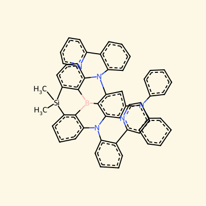 C[Si]1(C)c2cccc3c2B2c4c(cc(N(c5ccccc5)c5ccccc5)cc4N(c4ccccc4-c4ccccn4)c4cccc1c42)N3c1ccccc1-c1ccccn1